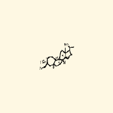 CC(C)C[C@@]1(O)CC[C@H]2[C@H](CC[C@@H]3[C@@H]2CC[C@]2(C)[C@@H](C(C)O)CC[C@@H]32)C1